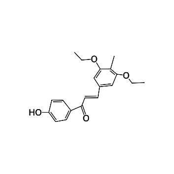 CCOc1cc(C=CC(=O)c2ccc(O)cc2)cc(OCC)c1C